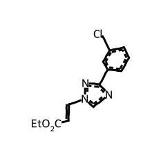 CCOC(=O)/C=C/n1cnc(-c2cccc(Cl)c2)n1